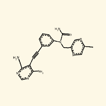 Cc1cnc(CN(C(N)=O)c2cccc(C#Cc3c(N)ncnc3N)c2)cn1